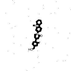 Cn1c2c(c3ccc(-n4ccc(-c5ccc(CO)cc5F)cc4=O)cc31)CCCC2